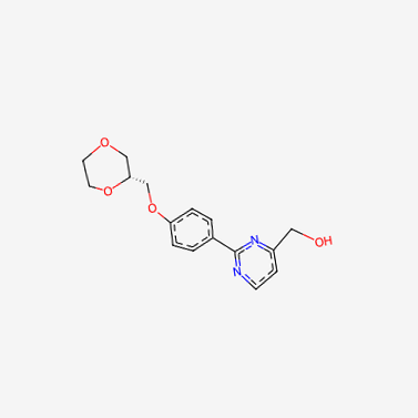 OCc1ccnc(-c2ccc(OC[C@H]3COCCO3)cc2)n1